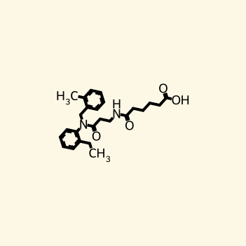 CCc1ccccc1N(Cc1ccccc1C)C(=O)CCNC(=O)CCCCC(=O)O